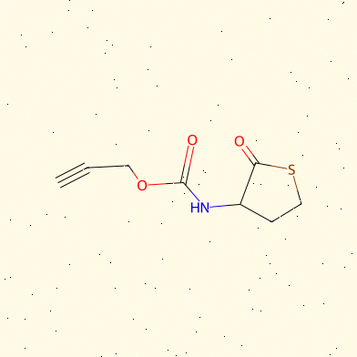 C#CCOC(=O)NC1CCSC1=O